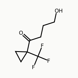 O=C(CCCO)C1(C(F)(F)F)CC1